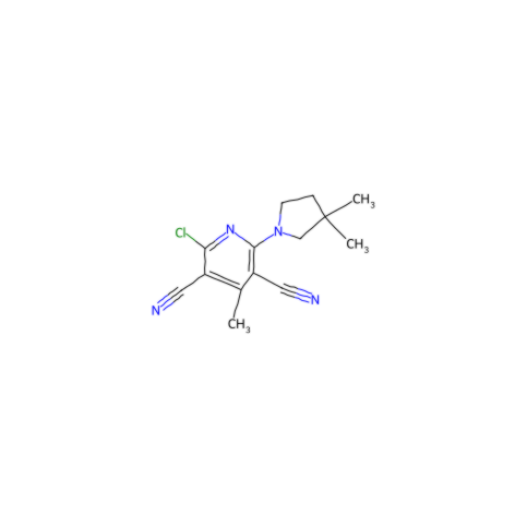 Cc1c(C#N)c(Cl)nc(N2CCC(C)(C)C2)c1C#N